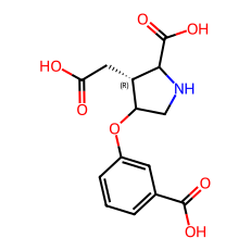 O=C(O)C[C@H]1C(Oc2cccc(C(=O)O)c2)CNC1C(=O)O